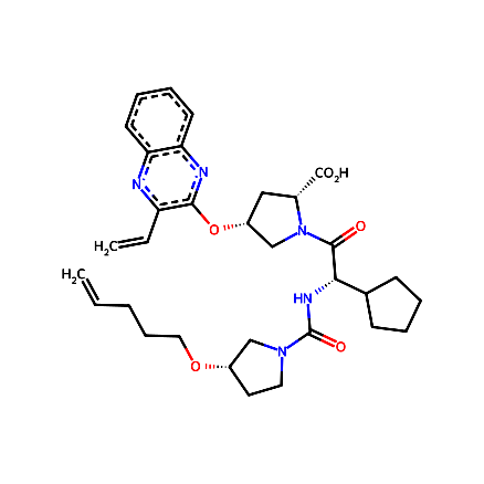 C=CCCCO[C@H]1CCN(C(=O)N[C@H](C(=O)N2C[C@H](Oc3nc4ccccc4nc3C=C)C[C@@H]2C(=O)O)C2CCCC2)C1